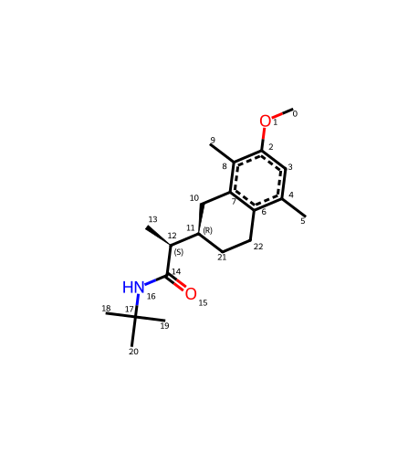 COc1cc(C)c2c(c1C)C[C@H]([C@H](C)C(=O)NC(C)(C)C)CC2